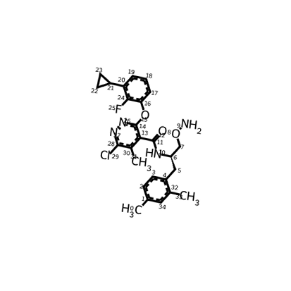 Cc1ccc(C[C@H](CON)NC(=O)c2c(Oc3cccc(C4CC4)c3F)nnc(Cl)c2C)c(C)c1